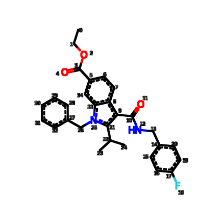 CCOC(=O)c1ccc2c(C(=O)NCc3ccc(F)cc3)c(C(C)C)n(Cc3ccccc3)c2c1